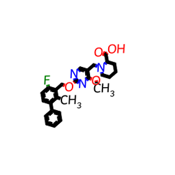 COc1nc(OCc2c(F)ccc(-c3ccccc3)c2C)ncc1CN1CCCCC1C(=O)O